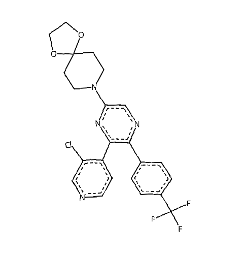 FC(F)(F)c1ccc(-c2ncc(N3CCC4(CC3)OCCO4)nc2-c2ccncc2Cl)cc1